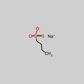 CCCCS(=O)([O-])=S.[Na+]